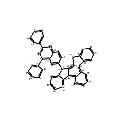 c1ccc(-c2nc(-c3ccccc3)c3cc(-n4c5cccnc5c5c6ncccc6c6c7ccccc7sc6c54)ccc3n2)cc1